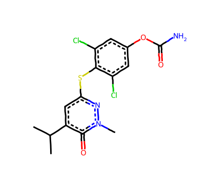 CC(C)c1cc(Sc2c(Cl)cc(OC(N)=O)cc2Cl)nn(C)c1=O